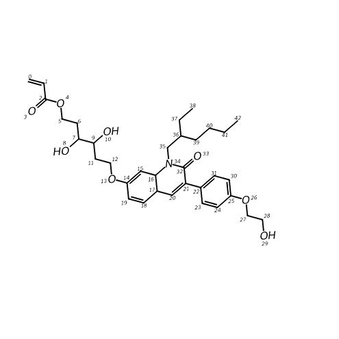 C=CC(=O)OCCC(O)C(O)CCOC1=CC2C(C=C1)C=C(c1ccc(OCCO)cc1)C(=O)N2CC(CC)CCCC